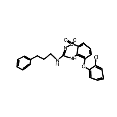 O=S1(=O)N=C(NCCCc2ccccc2)Nc2c(Oc3ccccc3Cl)cccc21